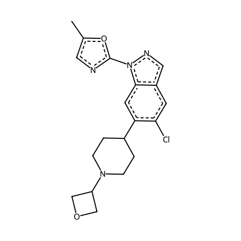 Cc1cnc(-n2ncc3cc(Cl)c(C4CCN(C5COC5)CC4)cc32)o1